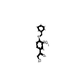 O=C(CCl)c1ccc(OCc2ccccc2)c([N+](=O)[O-])c1